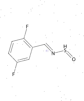 O=[SH]/N=C/c1cc(F)ccc1F